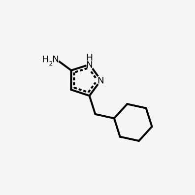 Nc1cc(CC2CCCCC2)n[nH]1